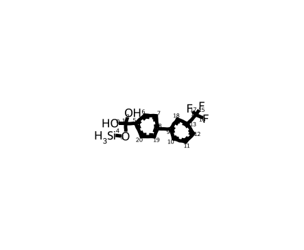 OC(O)(O[SiH3])c1ccc(-c2cccc(C(F)(F)F)c2)cc1